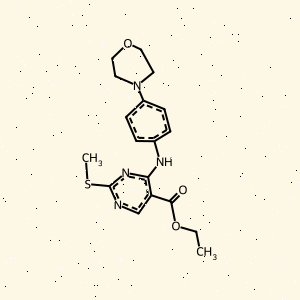 CCOC(=O)c1cnc(SC)nc1Nc1ccc(N2CCOCC2)cc1